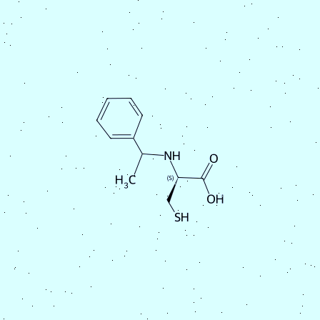 CC(N[C@H](CS)C(=O)O)c1ccccc1